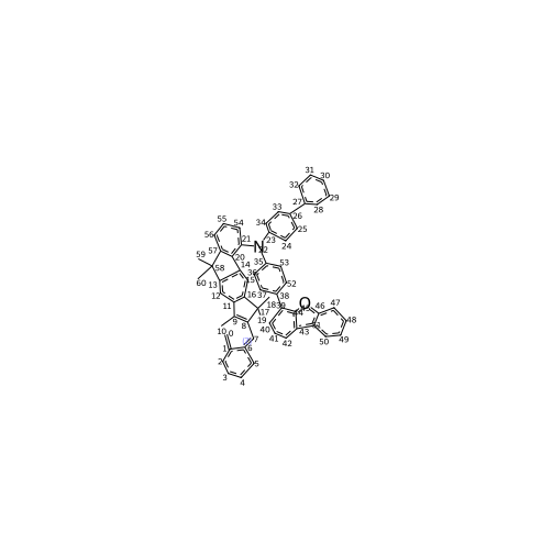 C=c1cccc/c1=C/C1=C(C)c2cc3c(cc2C1(C)C)-c1c(N(c2ccc(-c4ccccc4)cc2)c2ccc(-c4cccc5c4oc4ccccc45)cc2)cccc1C3(C)C